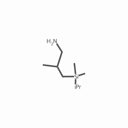 CC(CN)C[Si](C)(C)C(C)C